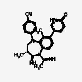 CC(=N)N1C(=N)[C@H](C)CN(c2ccc(C#N)cc2)c2c1ccc(-c1ccc(=O)[nH]c1)c2C